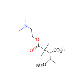 COC(C)C(C(=O)O)C(C)(C)C(=O)OCCN(C)C